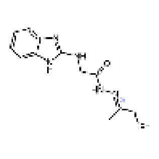 C/C(CC(C)C)=N\NC(=O)CNc1nc2ccccc2[nH]1